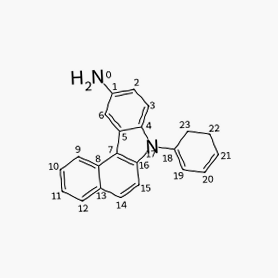 Nc1ccc2c(c1)c1c3ccccc3ccc1n2C1=CC=CCC1